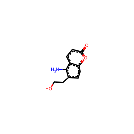 Nc1c(CCO)ccc2oc(=O)ccc12